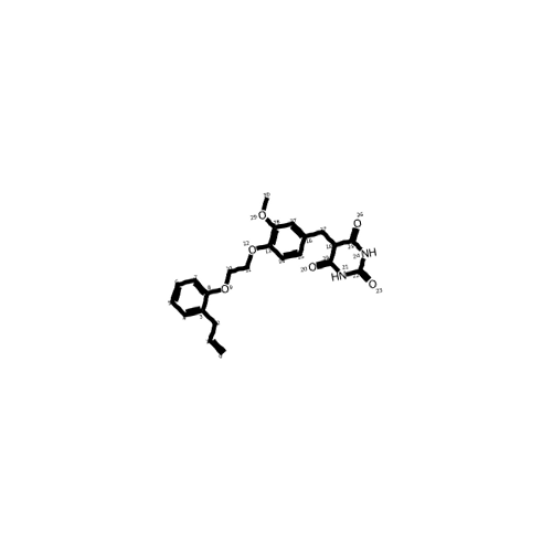 C=CCc1ccccc1OCCOc1ccc(CC2C(=O)NC(=O)NC2=O)cc1OC